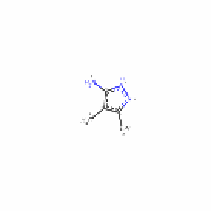 CCCc1n[nH]c(N)c1C